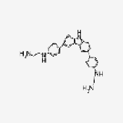 NCCNc1ccc(-c2ccc3[nH]c4ccc(-c5ccc(NCCN)cc5)cc4c3c2)cc1